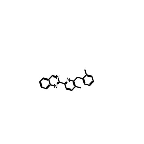 Cc1ccccc1Cc1nc(-c2ncc3ccccc3n2)ccc1C